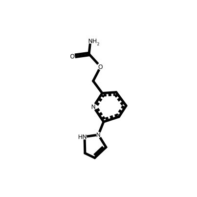 NC(=O)OCc1cccc(N2C=CCN2)n1